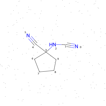 N#CNC1(C#N)CCCC1